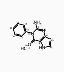 Cl.Nc1nc2nc[nH]c2c(=O)n1-c1ccccc1